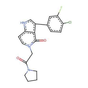 O=C(Cn1ccc2[nH]cc(-c3ccc(Cl)c(F)c3)c2c1=O)N1CCCC1